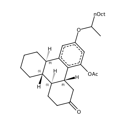 CCCCCCCCC(C)Oc1cc(OC(C)=O)c2c(c1)[C@@H]1CCCC[C@H]1[C@@H]1CCC(=O)C[C@@H]21